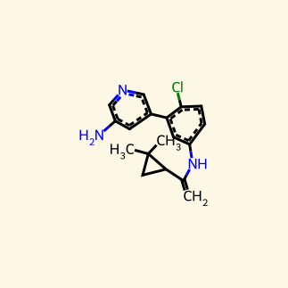 C=C(Nc1ccc(Cl)c(-c2cncc(N)c2)c1)C1CC1(C)C